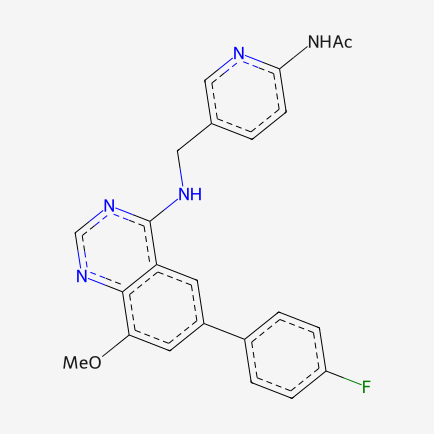 COc1cc(-c2ccc(F)cc2)cc2c(NCc3ccc(NC(C)=O)nc3)ncnc12